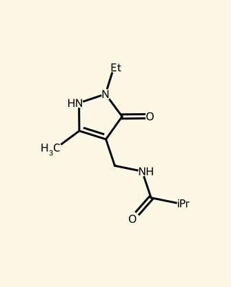 CCn1[nH]c(C)c(CNC(=O)C(C)C)c1=O